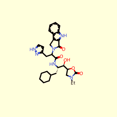 CCN1CC([C@H](O)[C@H](CC2CCCCC2)NC(=O)C(Cc2cc[nH]n2)N2Cc3c([nH]c4ccccc34)C2=O)OC1=O